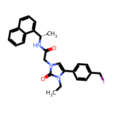 CCn1c(-c2ccc(CI)cc2)cn(CC(=O)N[C@@H](C)c2cccc3ccccc23)c1=O